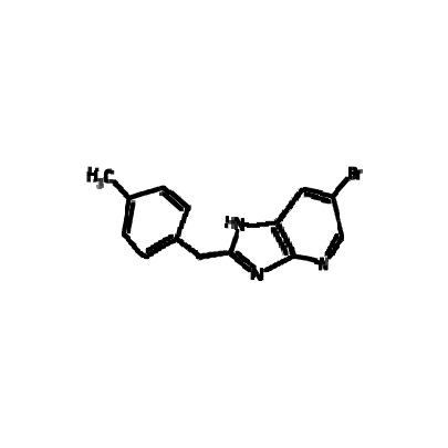 Cc1ccc(Cc2nc3ncc(Br)cc3[nH]2)cc1